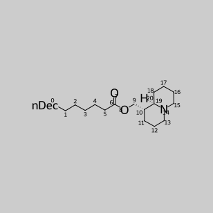 CCCCCCCCCCCCCCCC(=O)OC[C@H]1CCCN2CCCC[C@H]12